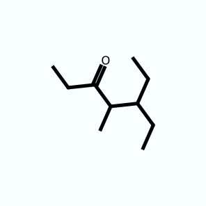 CC[C](CC)C(C)C(=O)CC